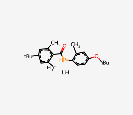 CCC(C)Oc1ccc(PC(=O)c2c(C)cc(C(C)(C)C)cc2C)c(C)c1.[LiH]